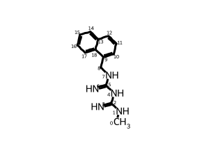 CNC(=N)NC(=N)NCc1cccc2ccccc12